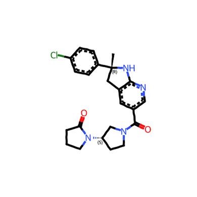 C[C@]1(c2ccc(Cl)cc2)Cc2cc(C(=O)N3CC[C@H](N4CCCC4=O)C3)cnc2N1